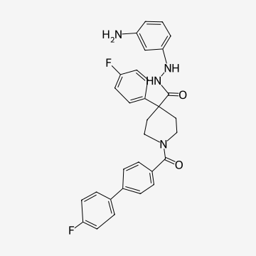 Nc1cccc(NNC(=O)C2(c3ccc(F)cc3)CCN(C(=O)c3ccc(-c4ccc(F)cc4)cc3)CC2)c1